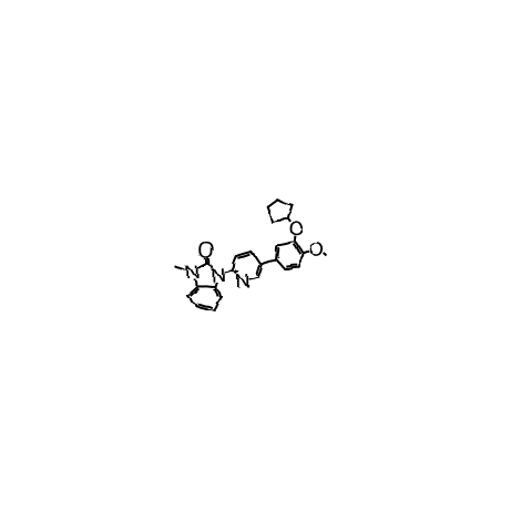 COc1ccc(-c2ccc(-n3c(=O)n(C)c4ccccc43)nc2)cc1OC1CCCC1